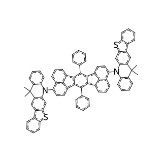 CC1(C)c2ccccc2N(c2ccc3c4c(-c5ccccc5)c5c6cccc7c(N8c9ccccc9C(C)(C)c9cc%10c(cc98)sc8ccccc8%10)ccc(c5c(-c5ccccc5)c4c4cccc2c43)c76)c2cc3sc4ccccc4c3cc21